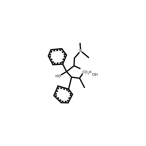 CC(C(=O)O)C(c1ccccc1)C(O)(c1ccccc1)C(C)CN(C)C.Cl